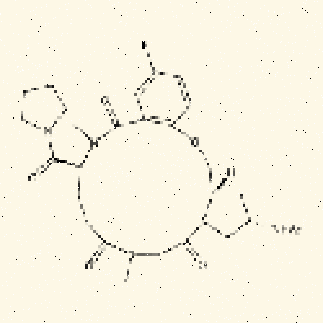 CC(=O)N[C@H]1C[C@H]2COc3ccc(F)cc3C(=O)N(C)[C@H](C(=O)N3CCCC3)CCC(=O)N(C)CC(=O)N2C1